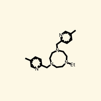 CCN1CCN(Cc2ccc(C)cn2)CCN(Cc2ccc(C)cn2)CC1